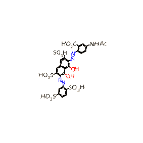 CC(=O)Nc1ccc(/N=N/c2c(S(=O)(=O)O)cc3cc(S(=O)(=O)O)c(/N=N/c4cc(S(=O)(=O)O)ccc4S(=O)(=O)O)c(O)c3c2O)c(C(=O)O)c1